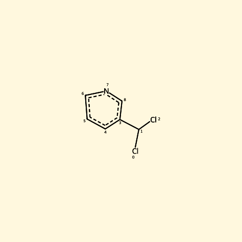 ClC(Cl)c1cccnc1